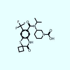 CC(C)N(C(=O)c1cc2c(cc1C(F)(F)F)SC1(CCC1)C(=O)N2)[C@@H]1CCCN(C(=O)O)C1